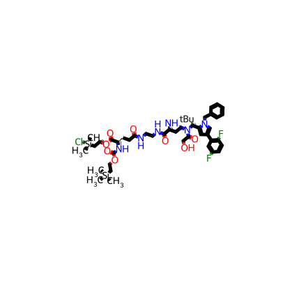 CC(C)(C)[C@H](c1cc(-c2cc(F)ccc2F)cn1Cc1ccccc1)N(CC[C@H](N)C(=O)NCCNC(=O)CC[C@H](NC(=O)OCC[Si](C)(C)C)C(=O)OCC[Si](C)(C)Cl)C(=O)CO